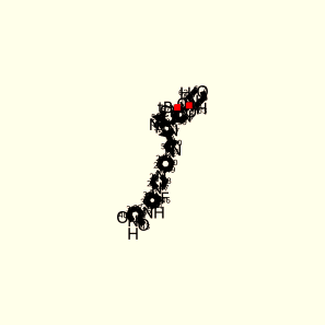 CC(C)(C)OC(=O)N1[C@@H]2COC[C@H]1CN(c1ccc(-c3nc(-c4cnn(C5CCC(N6CCN(c7ccc(NC8CCC(=O)NC8=O)cc7F)CC6)CC5)c4)cn4ncc(C#N)c34)cn1)C2